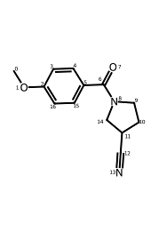 COc1ccc(C(=O)N2CCC(C#N)C2)cc1